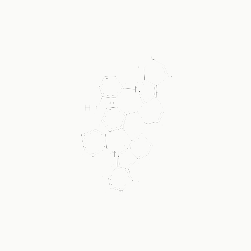 Cc1cccc(-n2c3c(c4c2C(c2ccccc2-c2cccc5c6ccccc6n(-c6ccccc6)c25)CC=C4)C=CCC3)c1